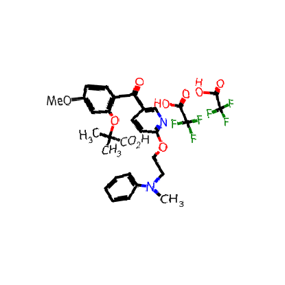 COc1ccc(C(=O)c2ccc(OCCN(C)c3ccccc3)nc2)c(OC(C)(C)C(=O)O)c1.O=C(O)C(F)(F)F.O=C(O)C(F)(F)F